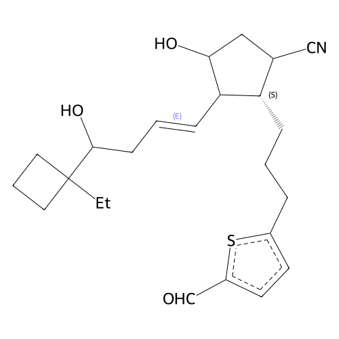 CCC1(C(O)C/C=C/C2C(O)CC(C#N)[C@@H]2CCCc2ccc(C=O)s2)CCC1